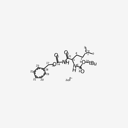 C[S+](C)CCC(NC(=O)OC(C)(C)C)C(=O)NC(=O)OCc1ccccc1.[I-]